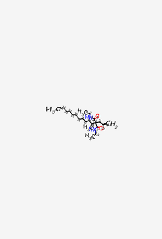 C=CCC(C(=O)NCC)(C(=O)NCC)C(C)CCCCCCCCCC